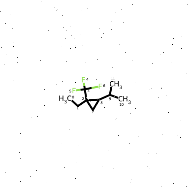 CCC1(C(F)(F)F)CC1C(C)C